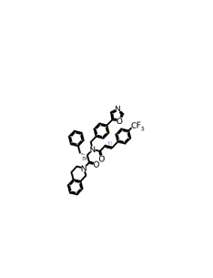 O=C([C@H](Cc1ccccc1)N(Cc1ccc(-c2cnco2)cc1)C(=O)/C=C/c1ccc(C(F)(F)F)cc1)N1CCc2ccccc2C1